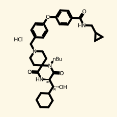 CCCCN1C(=O)[C@@H]([C@H](O)C2CCCCC2)NC(=O)C12CCN(Cc1ccc(Oc3ccc(C(=O)NCC4CC4)cc3)cc1)CC2.Cl